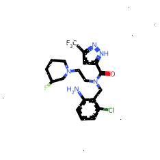 Nc1cccc(Cl)c1CN(CCN1CCCC(F)C1)C(=O)c1cc(C(F)(F)F)n[nH]1